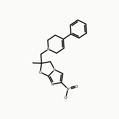 CC1(CN2CC=C(c3ccccc3)CC2)Cn2cc([N+](=O)[O-])nc2O1